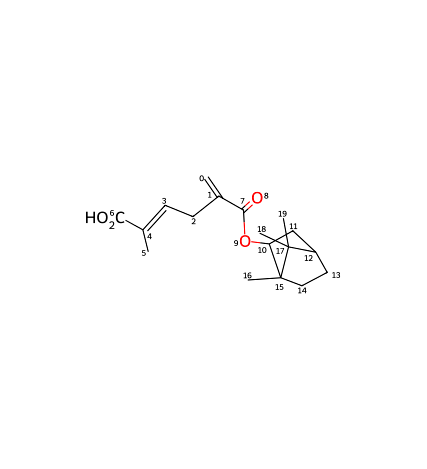 C=C(CC=C(C)C(=O)O)C(=O)OC1CC2CCC1(C)C2(C)C